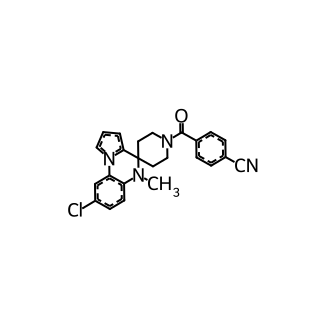 CN1c2ccc(Cl)cc2-n2cccc2C12CCN(C(=O)c1ccc(C#N)cc1)CC2